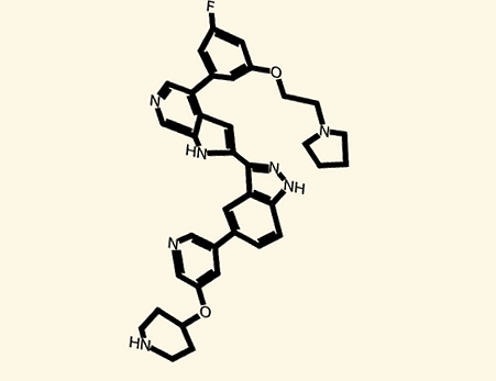 Fc1cc(OCCN2CCCC2)cc(-c2cncc3[nH]c(-c4n[nH]c5ccc(-c6cncc(OC7CCNCC7)c6)cc45)cc23)c1